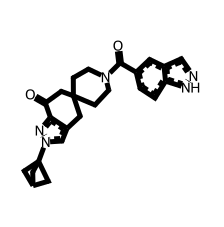 O=C1CC2(CCN(C(=O)c3ccc4[nH]ncc4c3)CC2)Cc2cn(C34CC(C3)C4)nc21